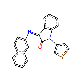 O=C1C(=Nc2ccc3ccccc3c2)c2ccccc2N1c1ccsc1